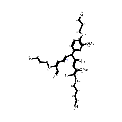 C=C/C(=C\C=C\C(/C(C)=C/C(OC)=C(\CC)OCCCCS)c1ccc(OCCCS)c(OC)c1)OCCCS